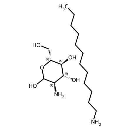 CCCCCCCCCCCCN.N[C@H]1C(O)O[C@H](CO)[C@@H](O)[C@@H]1O